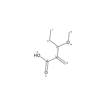 C=C(C(=O)O)C(CC)OC